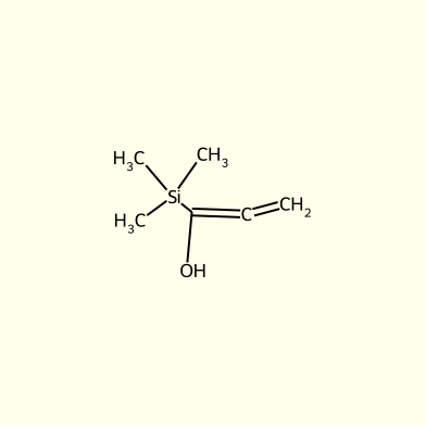 C=C=C(O)[Si](C)(C)C